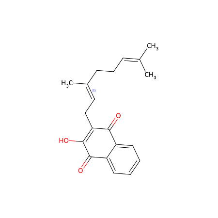 CC(C)=CCC/C(C)=C/CC1=C(O)C(=O)c2ccccc2C1=O